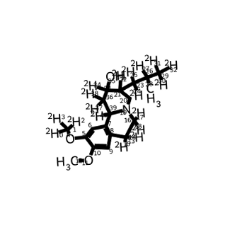 [2H]C([2H])([2H])Oc1cc2c(cc1OC)C([2H])([2H])C([2H])([2H])N1CC([2H])(C([2H])([2H])C([2H])(C)C([2H])([2H])[2H])C([2H])(O)C([2H])([2H])C21[2H]